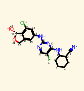 N#CC1CCCCC1Nc1nc(Nc2cc(Cl)c3c(c2)COB3O)ncc1F